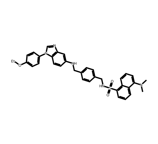 CCOc1ccc(-n2cnc3cc(NCc4ccc(CNS(=O)(=O)c5cccc6c(N(C)C)cccc56)cc4)ccc32)cc1